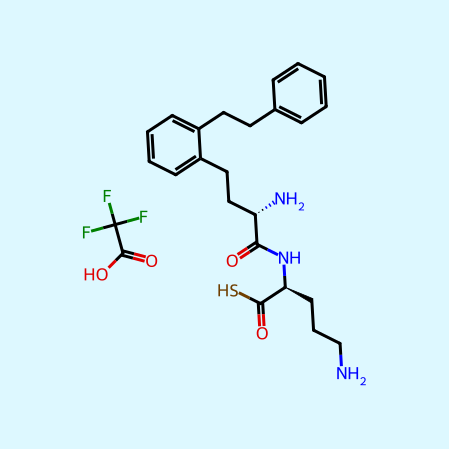 NCCC[C@H](NC(=O)[C@@H](N)CCc1ccccc1CCc1ccccc1)C(=O)S.O=C(O)C(F)(F)F